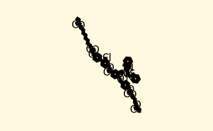 C=CC(=O)OCCCCCCCCOC(=O)Oc1ccc(-c2ccc(OC(=O)c3ccc(OCc4ccc(OC(=O)OCCCOC(=O)C=C)cc4)c(/C=N/N(c4nc5ccccc5s4)c4nc5ccccc5s4)c3)cc2Cl)cc1